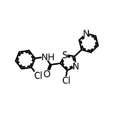 O=C(Nc1ccccc1Cl)c1sc(-c2cccnc2)nc1Cl